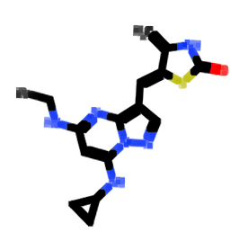 C=c1[nH]c(=O)s/c1=C\c1cnn2c(NC3CC3)cc(NCC(C)C)nc12